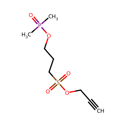 C#CCOS(=O)(=O)CCCOP(C)(C)=O